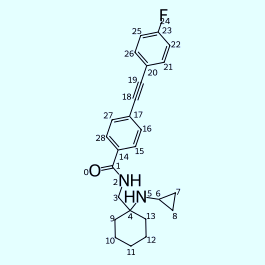 O=C(NCC1(NC2CC2)CCCCC1)c1ccc(C#Cc2ccc(F)cc2)cc1